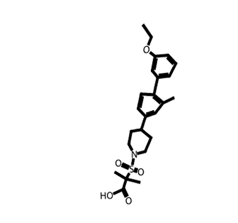 CCOc1cccc(-c2ccc(C3CCN(S(=O)(=O)C(C)(C)C(=O)O)CC3)cc2C)c1